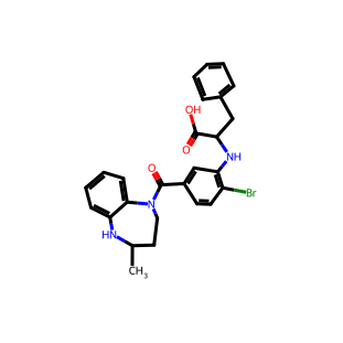 CC1CCN(C(=O)c2ccc(Br)c(NC(Cc3ccccc3)C(=O)O)c2)c2ccccc2N1